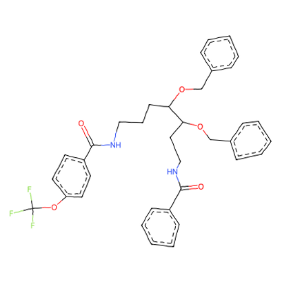 O=C(NCCCC(OCc1ccccc1)C(CCNC(=O)c1ccccc1)OCc1ccccc1)c1ccc(OC(F)(F)F)cc1